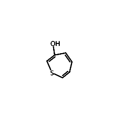 OC1=CSC=CC=C1